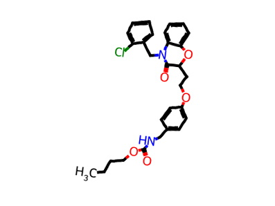 CCCCOC(=O)NCc1ccc(OCCC2Oc3ccccc3N(Cc3ccccc3Cl)C2=O)cc1